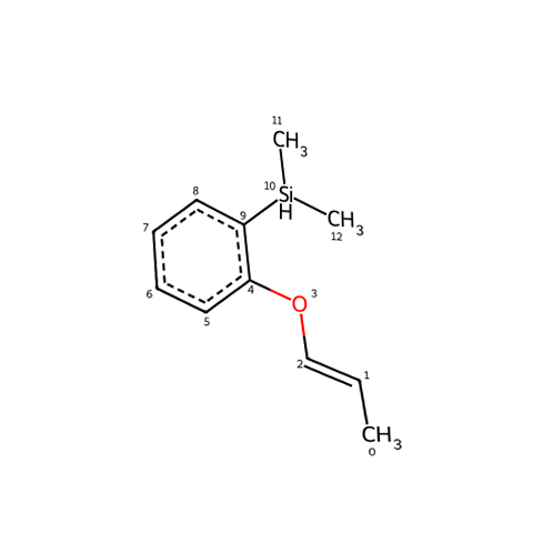 CC=COc1ccccc1[SiH](C)C